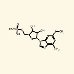 CSc1nc(N)c2ncn([C@H]3O[C@@H](COP(=O)(O)O)C(O)C3O)c2n1